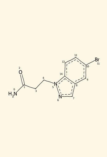 NC(=O)CCn1ncc2cc(Br)ccc21